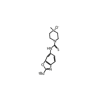 CC(C)(C)c1nc2ccc(NC(=S)N3CC[N+](C)([O-])CC3)cc2o1